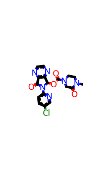 CN1CCN(C(=O)OC2c3nccnc3C(=O)N2c2ccc(Cl)cn2)CC1=O